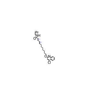 CC(C)CNC(=O)/C=C/C=C/CCCCCCCOc1cc(Cl)c2ccccc2n1